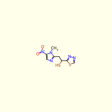 Cn1c([N+](=O)[O-])cnc1CC(S)c1nncs1